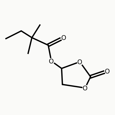 CCC(C)(C)C(=O)OC1COC(=O)O1